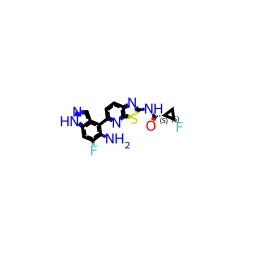 Nc1c(F)cc2[nH]ncc2c1-c1ccc2nc(NC(=O)[C@@H]3C[C@@H]3F)sc2n1